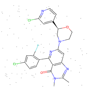 Cc1nc2cc(N3CCO[C@H](c4ccnc(Cl)c4)C3)nc(-c3ccc(Cl)cc3F)c2c(=O)n1C